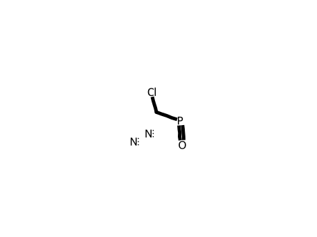 O=PCCl.[N].[N]